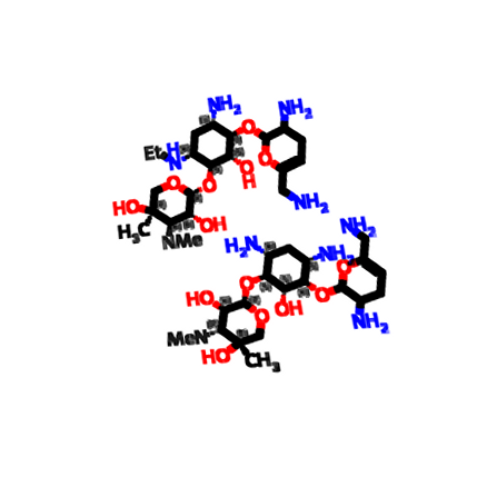 CCN[C@@H]1C[C@H](N)[C@@H](OC2OC(CN)=CCC2N)[C@H](O)[C@H]1O[C@H]1OC[C@](C)(O)[C@H](NC)[C@H]1O.CN[C@@H]1[C@@H](O)[C@@H](O[C@@H]2[C@@H](O)[C@H](OC3OC(CN)=CCC3N)[C@@H](N)C[C@H]2N)OC[C@]1(C)O